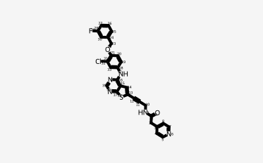 O=C(Cc1ccncc1)NCC#Cc1cc2c(Nc3ccc(OCc4cccc(F)c4)c(Cl)c3)ncnc2s1